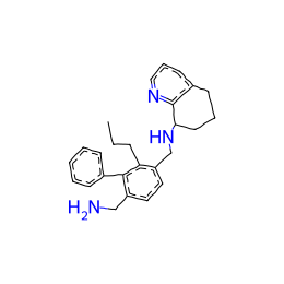 CCCc1c(CNC2CCCc3cccnc32)ccc(CN)c1-c1ccccc1